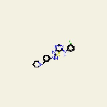 Clc1cccc(Nc2ncnc3nc(Nc4cccc(CN5CCCCC5)c4)sc23)c1